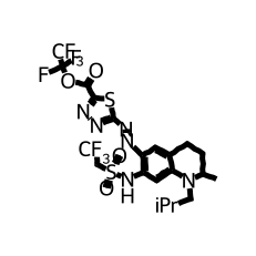 CC(C)CN1c2cc(NS(=O)(=O)CC(F)(F)F)c(N=Nc3nnc(C(=O)OC(F)(F)C(F)(F)F)s3)cc2CCC1C